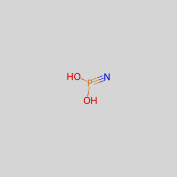 N#P(O)O